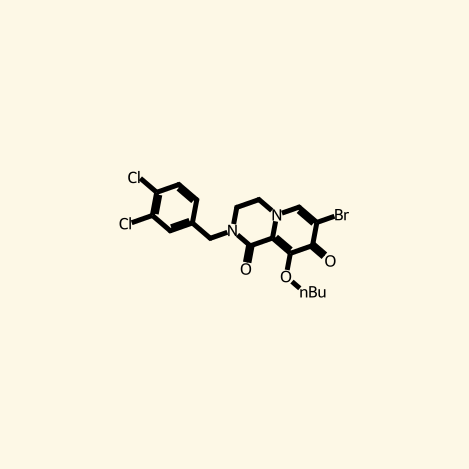 CCCCOc1c2n(cc(Br)c1=O)CCN(Cc1ccc(Cl)c(Cl)c1)C2=O